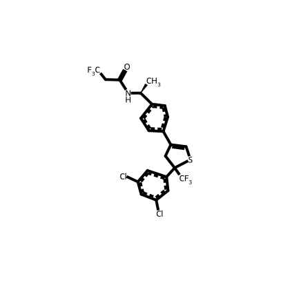 C[C@H](NC(=O)CC(F)(F)F)c1ccc(C2=CSC(c3cc(Cl)cc(Cl)c3)(C(F)(F)F)C2)cc1